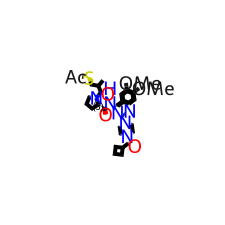 COc1cc2nc(N3CCN(C(=O)C4CCC4)CC3)nc(NC(=O)[C@@H]3CCCN3C(=O)C(C)CSC(C)=O)c2cc1OC